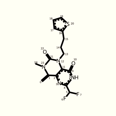 C=C1c2nc(C(F)F)[nH]c(=O)c2N(CCCc2cccs2)C(=O)N1C